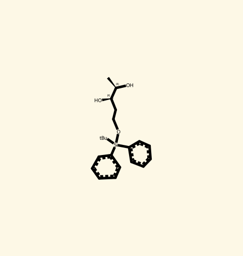 C[C@@H](O)[C@H](O)CCO[Si](c1ccccc1)(c1ccccc1)C(C)(C)C